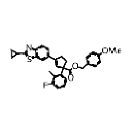 COc1ccc(COC(=O)C2(c3cccc(F)c3C)C=C(c3ccc4nc(C5CC5)sc4c3)CC2)cc1